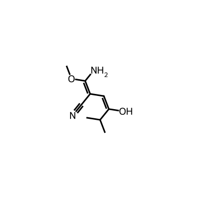 CO/C(N)=C(C#N)/C=C(/O)C(C)C